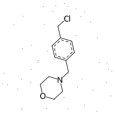 ClCc1ccc(CN2CCOCC2)cc1